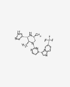 C[C@H]1CN(c2nccc(-c3cnc4ccc(C(F)(F)F)cn34)n2)[C@@H](C)C(c2cn[nH]c2)N1